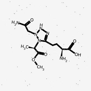 COC(=O)[C@@H](C)N1C(CC[C@H](N)C(=O)O)=NNN1CC(N)=O